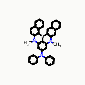 CN1c2cc3ccccc3cc2B2c3c1cc(N(c1ccccc1)c1ccccc1)cc3N(C)c1ccc3ccccc3c12